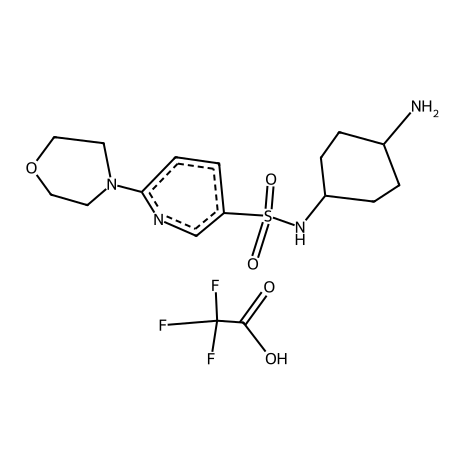 NC1CCC(NS(=O)(=O)c2ccc(N3CCOCC3)nc2)CC1.O=C(O)C(F)(F)F